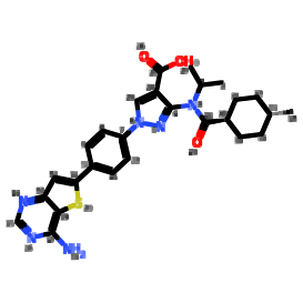 CC(C)N(c1nn(-c2ccc(-c3cc4ncnc(N)c4s3)cc2)cc1C(=O)O)C(=O)[C@H]1CC[C@H](C)CC1